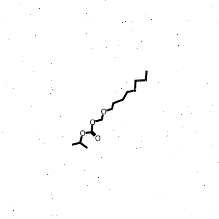 CCCCCCCCOCOC(=O)OC(C)C